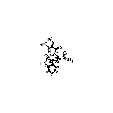 CCCNC(CC(C)C)C(=O)N1C[C@]2(C[C@H]1C(N)=O)C(=O)Nc1ccccc12